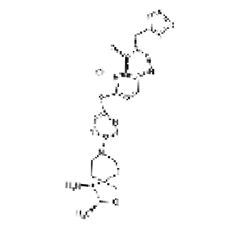 C[C@@H]1OCC2(CCN(c3cnc(Sc4ccc5ncn(Cc6ccon6)c(=O)c5c4Cl)cn3)CC2)[C@@H]1N